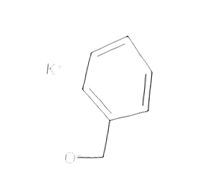 [K+].[O-]Cc1ccccc1